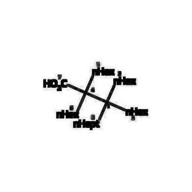 CCCCCCCC(CCCCCC)(CCCCCC)C(CCCCCC)(CCCCCC)C(=O)O